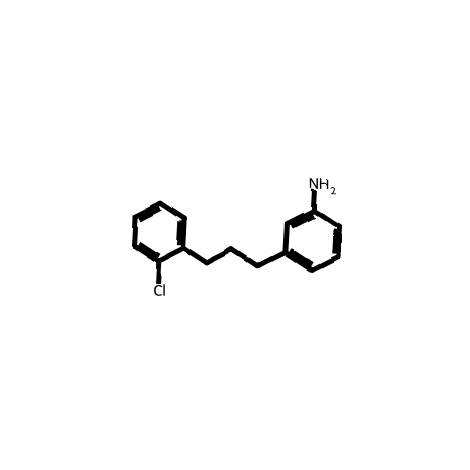 Nc1cccc(CCCc2ccccc2Cl)c1